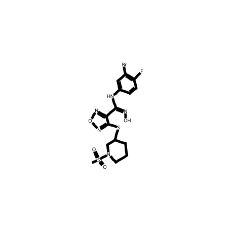 CS(=O)(=O)N1CCCC(Sc2nonc2C(=NO)Nc2ccc(F)c(Br)c2)C1